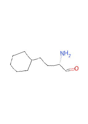 N[C@H](C=O)CCC1CCCCC1